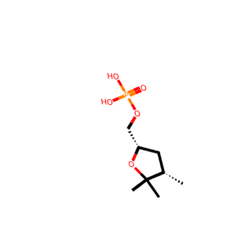 C[C@H]1C[C@@H](COP(=O)(O)O)OC1(C)C